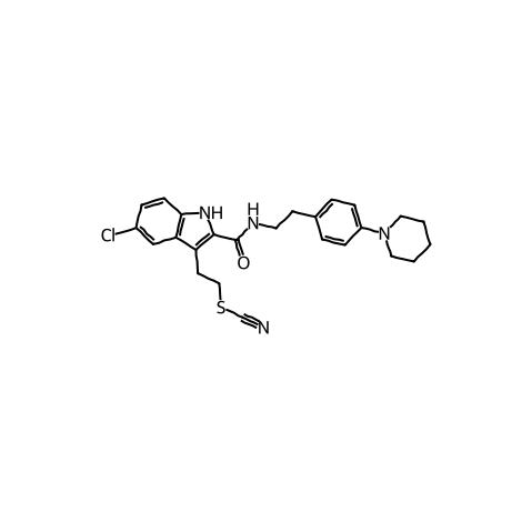 N#CSCCc1c(C(=O)NCCc2ccc(N3CCCCC3)cc2)[nH]c2ccc(Cl)cc12